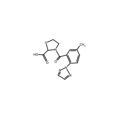 Cc1ccc(-n2nccn2)c(C(=O)N2CCOC2C(=O)O)c1